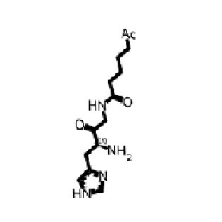 CC(=O)CCCCC(=O)NCC(=O)[C@@H](N)Cc1c[nH]cn1